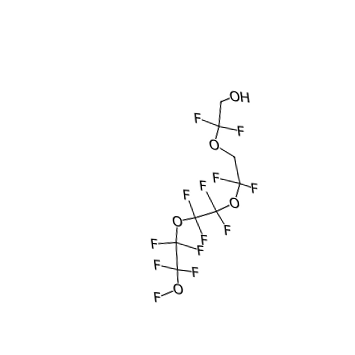 OCC(F)(F)OCC(F)(F)OC(F)(F)C(F)(F)OC(F)(F)C(F)(F)OF